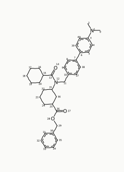 CN(C)c1ccc(-c2ccc(CN(C(=O)C3CCCCC3)C3CCCC(C(=O)OCc4ccccc4)C3)cc2)cc1